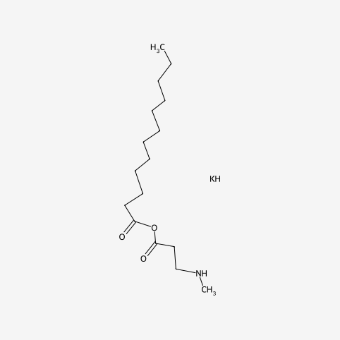 CCCCCCCCCCCC(=O)OC(=O)CCNC.[KH]